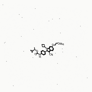 COCCOc1ccc2c(C#N)c(-c3ccc(NC(=O)OC(C)C4CC4)cc3)n(C3CCC3)c2c1